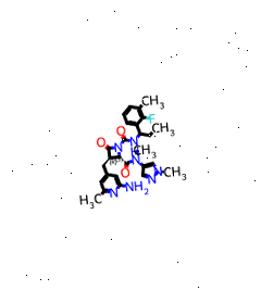 CCC(NC(=O)N1C(=O)[C@H](Cc2cc(C)nc(N)c2)[C@H]1C(=O)N(C)c1cnn(C)c1)c1cccc(C)c1F